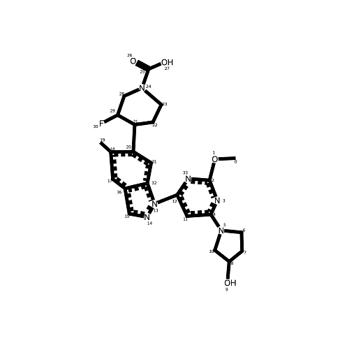 COc1nc(N2CCC(O)C2)cc(-n2ncc3cc(C)c(C4CCN(C(=O)O)CC4F)cc32)n1